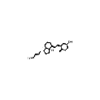 C=C1CC[C@H](O)C/C1=C/C=C1\CCC[C@]2(C)[C@@H](C/C=C/CC(C)C)CC[C@@H]12